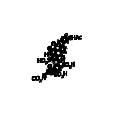 CC(=O)Nc1ccc(COC(=O)c2c3c4c(c(Nc5cc(S(=O)(=O)CCCC(=O)O)c(S(=O)(=O)O)cc5S(=O)(=O)O)cc(S(=O)(=O)O)c4[nH]c2=O)C(=O)c2ccccc2-3)cc1